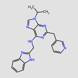 CC(C)n1cnc2c(NCc3nc4ccccc4[nH]3)nc(Cc3cccnc3)nc21